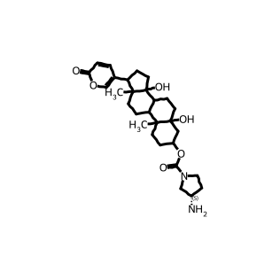 CC12CCC(OC(=O)N3CC[C@H](N)C3)CC1(O)CCC1C2CCC2(C)C(c3ccc(=O)oc3)CCC12O